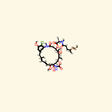 COc1cc2cc(c1Cl)N(C)C(=O)CC(OC(=O)[C@@H](C)N(C)C(=O)CCC(C)SSC)C1(C)OC1C(C)C1CC(O)(NC(=O)O1)C(OC)/C=C/C=C(\C)C2